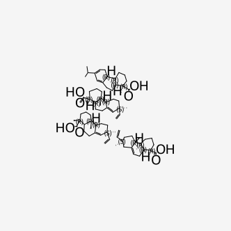 C=C[C@@]1(C)C=C2CCC3[C@](C)(C(=O)O)CCC[C@]3(C)[C@H]2CC1.C=C[C@@]1(C)C=C2CC[C@@H]3[C@](C)(CCC[C@@]3(C)C(=O)O)[C@H]2CC1.C=C[C@@]1(C)CC[C@H]2C(=CC[C@@H]3[C@]2(C)CCC[C@@]3(C)C(=O)O)C1.CC(C)C1=CC[C@H]2C(=C1)CC[C@@H]1[C@]2(C)CCC[C@@]1(C)C(=O)O